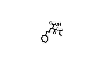 CCC(C)OC(=O)C(CCCC1CCCCCC1)C(=O)O